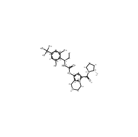 CC[C@@H](NC(=O)Oc1cc(C(=O)N2CCC[C@@H]2C)n2c1COCC2)c1c(F)cc(C(F)(F)F)cc1F